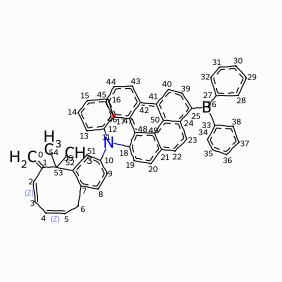 C=C1/C=C\C=C/Cc2ccc(N(c3ccccc3)c3ccc4ccc5c(B(c6ccccc6)c6ccccc6)ccc6c7ccccc7c3c4c56)cc2C1(C)C